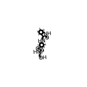 O=C1Nc2ccccc2C1=CNc1ccc(S(=O)(=O)NCCO)cc1